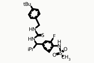 CC(C)C(NC(=S)NCc1ccc(C(C)(C)C)cc1)c1ccc(NS(C)(=O)=O)c(F)c1